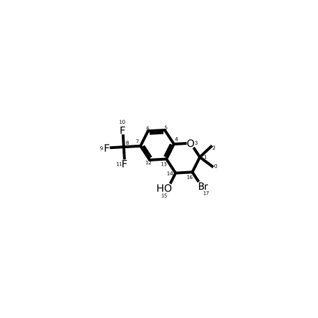 CC1(C)Oc2ccc(C(F)(F)F)cc2C(O)C1Br